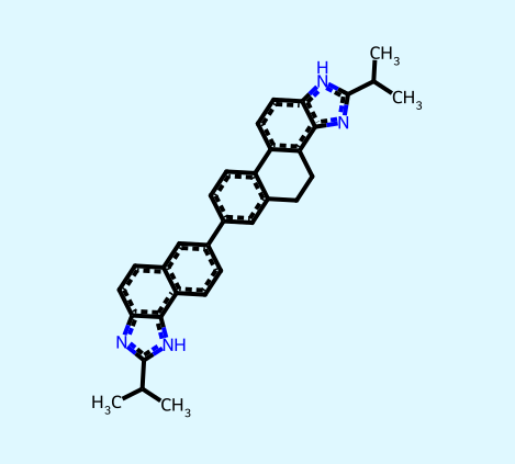 CC(C)c1nc2c3c(ccc2[nH]1)-c1ccc(-c2ccc4c(ccc5nc(C(C)C)[nH]c54)c2)cc1CC3